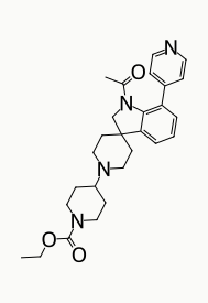 CCOC(=O)N1CCC(N2CCC3(CC2)CN(C(C)=O)c2c(-c4ccncc4)cccc23)CC1